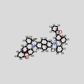 N#Cc1c(N(c2ccc3oc4ccccc4c3c2)c2ccccc2-c2ccccc2)cc2ccc3c(C#N)c(N(c4ccc5oc6ccccc6c5c4)c4ccccc4-c4ccccc4)cc4ccc1c2c43